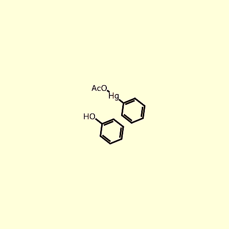 CC(=O)[O][Hg][c]1ccccc1.Oc1ccccc1